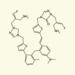 Cc1cccc(-c2ccc(CN3C=NN(C/C(=C/F)CN)C3)s2)c1Cc1cc(N(C)C)ccc1/C=C/c1ccc(Cn2cnn(C/C(=C/F)CN)c2=O)s1